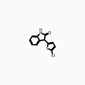 CCc1ccc(C2C(=O)Nc3ccccc32)s1